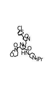 CC(C)N1CCC(NC(=O)c2cc(C(=O)N3CCCOCC3)nn2Cc2cc(-c3ccc(Cl)s3)on2)CC1